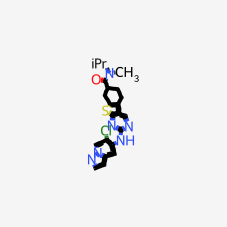 CC(C)N(C)C(=O)C1CCc2c(sc3nc(Nc4cc5ccnn5cc4Cl)ncc23)C1